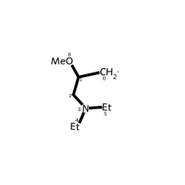 [CH2]C(CN(CC)CC)OC